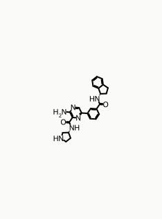 Nc1ncc(-c2cccc(C(=O)N[C@H]3CCc4ccccc43)c2)nc1C(=O)N[C@@H]1CCNC1